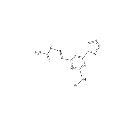 CC(C)Nc1nc(/C=N/N(C)C(N)=S)cc(-c2cncs2)n1